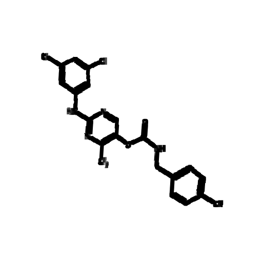 N#Cc1ccc(CNC(=O)Oc2cnc(Nc3cc(Cl)cc(Cl)c3)nc2C(F)(F)F)cc1